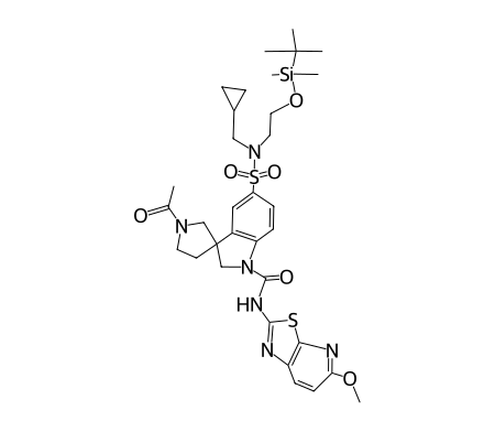 COc1ccc2nc(NC(=O)N3CC4(CCN(C(C)=O)C4)c4cc(S(=O)(=O)N(CCO[Si](C)(C)C(C)(C)C)CC5CC5)ccc43)sc2n1